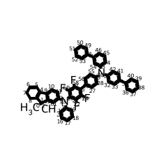 CC1(C)C2=C(C=CCC2)c2ccc(N(c3ccccc3)c3c(F)c(F)c(-c4ccc(N(c5ccc(-c6ccccc6)cc5)c5cccc(-c6ccccc6)c5)cc4)c(F)c3F)cc21